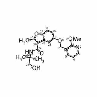 COc1ncccc1COc1ccc2oc(C)c(C(=O)NC(C)(C)CO)c2c1